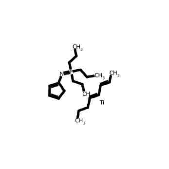 CC=CC=CCCC.CCCP(CCC)(CCC)=NC1=CC=CC1.[Ti]